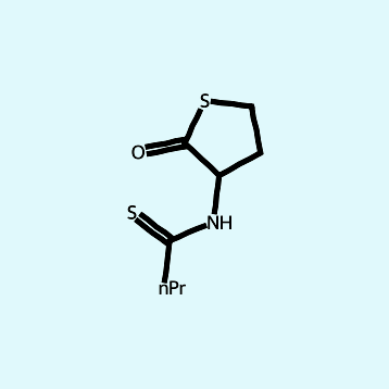 CCCC(=S)NC1CCSC1=O